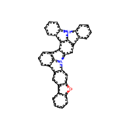 c1ccc2c(c1)oc1cc3c(cc12)c1cccc2c4c5c6ccccc6n6c7ccccc7c(cc4n3c12)c56